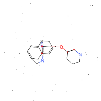 C1=CC23CC4=CC=C2C(=NC(OC2CN5CCC2CC5)=CCN3C4)C1